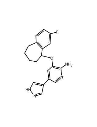 Nc1ncc(-c2cn[nH]c2)cc1OC1CCCCc2ccc(F)cc21